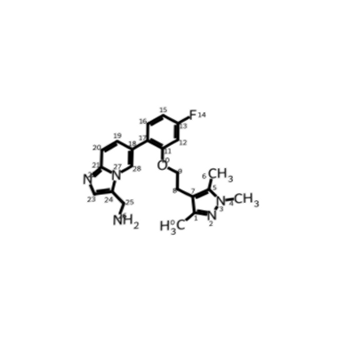 Cc1nn(C)c(C)c1CCOc1cc(F)ccc1-c1ccc2ncc(CN)n2c1